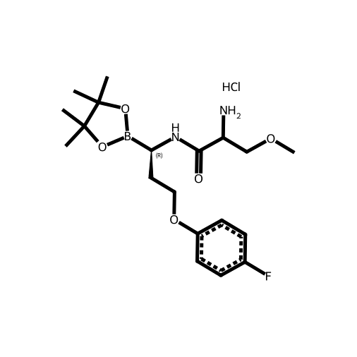 COCC(N)C(=O)N[C@@H](CCOc1ccc(F)cc1)B1OC(C)(C)C(C)(C)O1.Cl